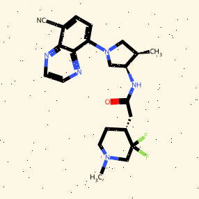 C[C@@H]1CN(c2ccc(C#N)c3nccnc23)C[C@@H]1NC(=O)C[C@H]1CCN(C)CC1(F)F